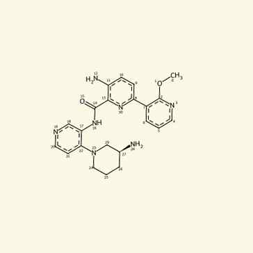 COc1ncccc1-c1ccc(N)c(C(=O)Nc2cnccc2N2CCC[C@H](N)C2)n1